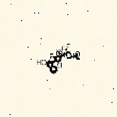 C=CC(=O)N1CCN(c2snc3c(F)c(-c4cc(O)cc5ccccc45)c(Cl)cc23)[C@H](C(F)F)C1